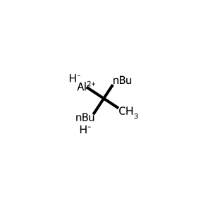 CCCC[C](C)([Al+2])CCCC.[H-].[H-]